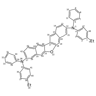 CCc1ccc(N(c2ccccc2)c2ccc3cc4c(cc3c2)oc2cc3cc(N(c5ccccc5)c5ccc(CC)cc5)ccc3cc24)cc1